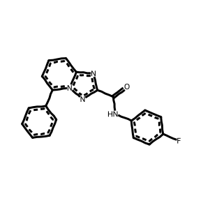 O=C(Nc1ccc(F)cc1)c1nc2cccc(-c3ccccc3)n2n1